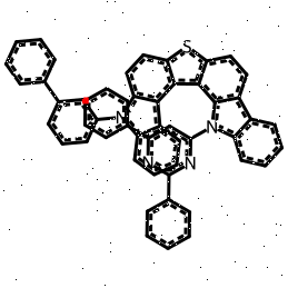 c1ccc(-c2cccc(-n3c4ccccc4c4c5c(ccc43)sc3ccc4c6ccccc6n(-c6cc(-c7ccccc7)nc(-c7ccccc7)n6)c4c35)c2)cc1